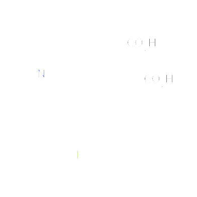 O=C(O)C1(C(=O)O)Cc2nccc(F)c2C1